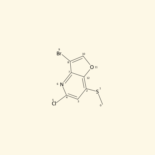 CSc1cc(Cl)nc2c(Br)coc12